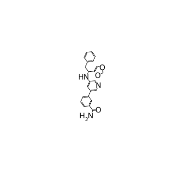 NC(=O)c1cccc(-c2cncc(NC(Cc3ccccc3)C3=COCO3)c2)c1